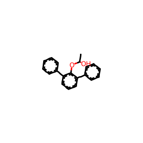 CC(O)Oc1c(-c2ccccc2)cccc1-c1ccccc1